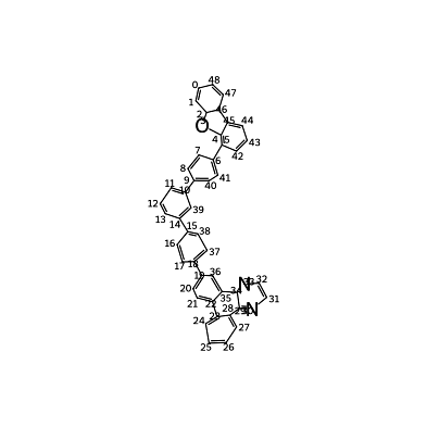 C1=CC2Oc3c(-c4ccc(-c5cccc(-c6ccc(-c7ccc8c9ccccc9c9nccnc9c8c7)cc6)c5)cc4)cccc3C2C=C1